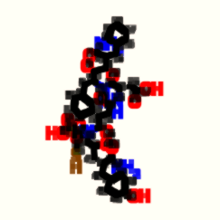 NC(=O)C(CC(=O)[C@H](Cc1ccc(OS(=O)(=O)O)cc1)NC(=O)[C@H](CC(=O)O)NC(=O)CCC(=O)N[C@@H](CS)C(=O)C[C@@H](Cc1ccc(O)cc1)C(N)=O)Cc1ccccc1